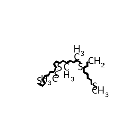 C=C/C=C(/C=C/CCCSC)SC/C(C)=C/C=C(\C)Cc1ccc(/C(=C/C=C/c2cccs2)SC)s1